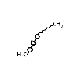 CCCCCCCCCC1CC=C(c2ccc(C3=CCC(CC)CC3)cc2)CC1